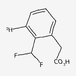 [2H]c1cccc(CC(=O)O)c1C(F)F